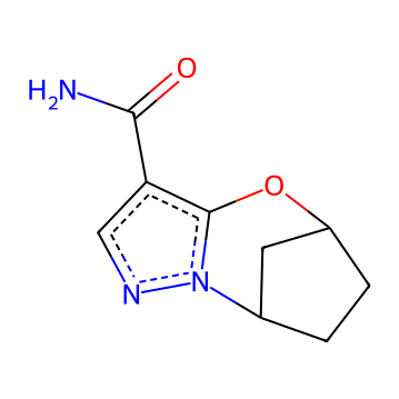 NC(=O)c1cnn2c1OC1CCC2C1